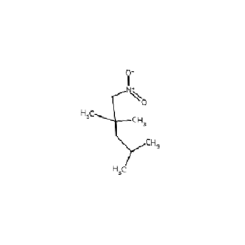 CC(C)CC(C)(C)C[N+](=O)[O-]